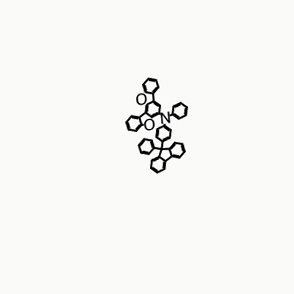 c1ccc(N(c2ccc(C3(c4ccccc4)c4ccccc4-c4ccccc43)cc2)c2cc3c4ccccc4oc3c3c2oc2ccccc23)cc1